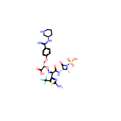 C[C@@H]1[C@H](NC(=O)/C(=N\O[C@@H](COc2ccc(C(=N)N[C@@H]3CCCNC3)cc2)C(=O)O)c2nc(N)sc2C(F)(F)F)C(=O)N1S(=O)(=O)O